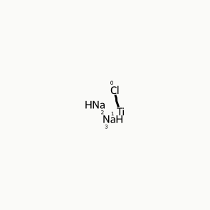 [Cl][Ti].[NaH].[NaH]